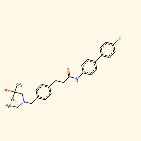 CCN(Cc1ccc(CCC(=O)Nc2ccc(-c3ccc(Cl)cc3)cc2)cc1)CC(C)(C)O